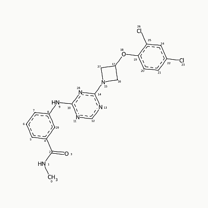 CNC(=O)c1cccc(Nc2ncnc(N3CC(Oc4ccc(Cl)cc4Cl)C3)n2)c1